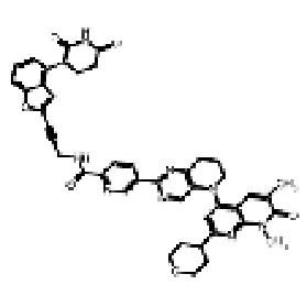 Cc1cc2c(N3CCCc4nc(-c5ccc(C(=O)NCC#Cc6cc7c([C@@H]8CCC(=O)NC8=O)cccc7o6)nc5)ncc43)cc(C3CCOCC3)nc2n(C)c1=O